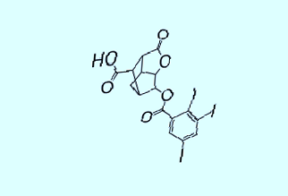 O=C(OC1C2CC3C1OC(=O)C3C2C(=O)O)c1cc(I)cc(I)c1I